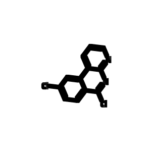 Clc1ccc2c(Cl)nc3ncccc3c2c1